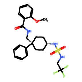 COc1ccccc1C(=O)NC[C@]1(c2ccccc2)CC[C@H](NS(=O)(=O)NCC(F)(F)F)CC1